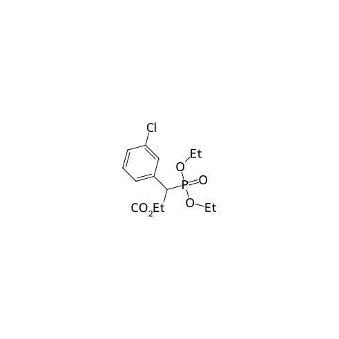 CCOC(=O)C(c1cccc(Cl)c1)P(=O)(OCC)OCC